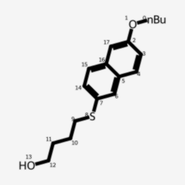 CCCCOc1ccc2cc(SCCCCO)ccc2c1